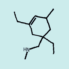 CCC1=CC(C)CC(CC)(CNC)C1